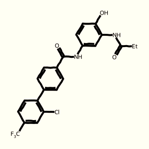 CCC(=O)Nc1cc(NC(=O)c2ccc(-c3ccc(C(F)(F)F)cc3Cl)cc2)ccc1O